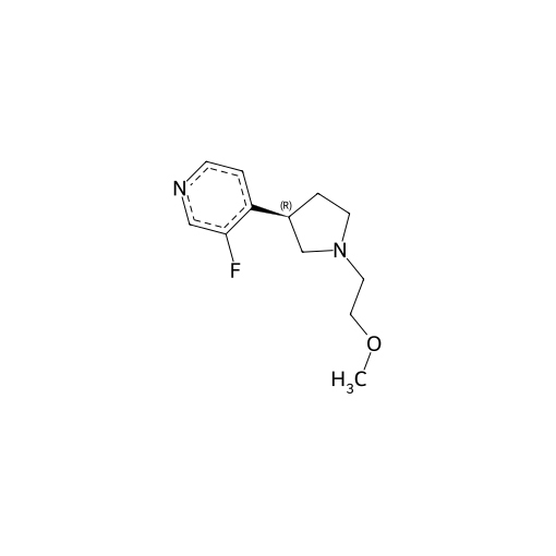 COCCN1CC[C@H](c2ccncc2F)C1